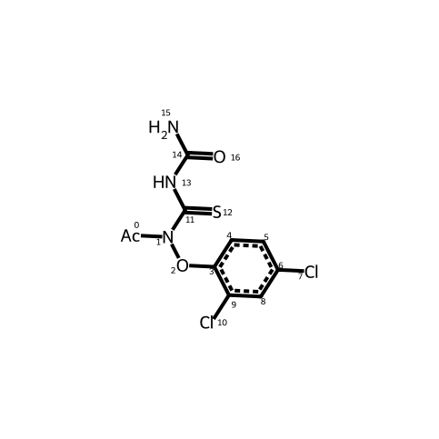 CC(=O)N(Oc1ccc(Cl)cc1Cl)C(=S)NC(N)=O